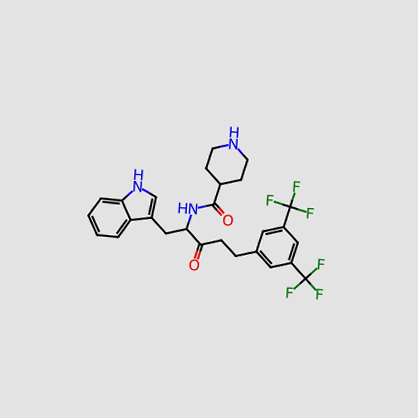 O=C(NC(Cc1c[nH]c2ccccc12)C(=O)CCc1cc(C(F)(F)F)cc(C(F)(F)F)c1)C1CCNCC1